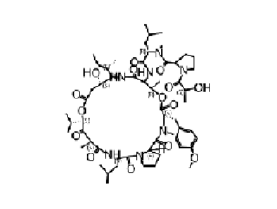 CC[C@H](C)[C@H]1NC(=O)C(NC(=O)[C@@H](CC(C)C)N(C)C(=O)C2CCCN2C(=O)[C@H](C)O)[C@@H](C)OC(=O)[C@H](Cc2ccc(OC)cc2)N(C)C(=O)[C@@H]2CCCN2C(=O)[C@H](CC(C)C)NC(=O)[C@@H](C)C(=O)[C@H](C(C)C)OC(=O)C[C@@H]1O